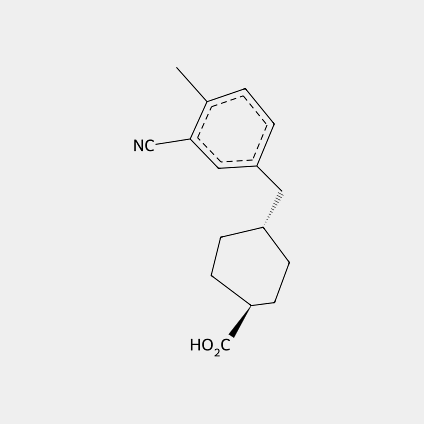 Cc1ccc(C[C@H]2CC[C@H](C(=O)O)CC2)cc1C#N